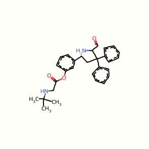 CC(C)(C)NCC(=O)Oc1cccc(CCC(c2ccccc2)(c2ccccc2)C(N)C=O)c1